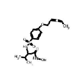 CC=C=CCOc1ccc(S(=O)(=O)NC(C(=O)NO)C(C)C)cc1